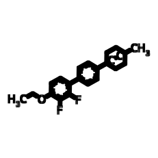 CCOc1ccc(-c2ccc(C34CCC(C)(CC3)CC4)cc2)c(F)c1F